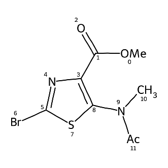 COC(=O)c1nc(Br)sc1N(C)C(C)=O